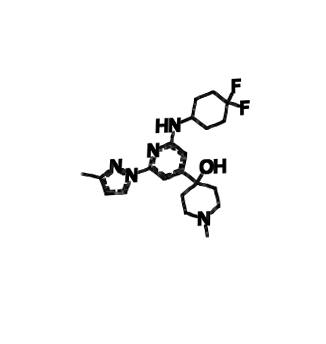 Cc1ccn(-c2cc(C3(O)CCN(C)CC3)cc(NC3CCC(F)(F)CC3)n2)n1